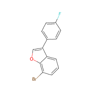 Fc1ccc(-c2coc3c(Br)cccc23)cc1